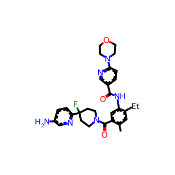 CCc1cc(C)c(C(=O)N2CCC(F)(c3ccc(N)cn3)CC2)cc1NC(=O)c1ccc(N2CCOCC2)nc1